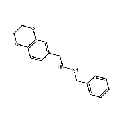 c1ccc(CNNCc2ccc3c(c2)OCCO3)cc1